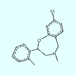 Cc1cccnc1C1CN(C)Cc2ccc(Cl)nc2O1